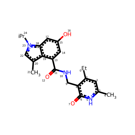 CCc1cc(C)[nH]c(=O)c1CNC(=O)c1cc(O)cc2c1c(C)cn2C(C)C